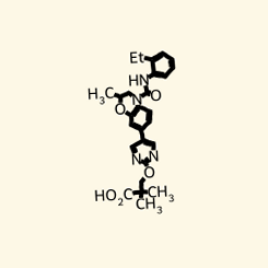 CCc1ccccc1NC(=O)N1CC(C)Oc2cc(-c3cnc(OCC(C)(C)C(=O)O)nc3)ccc21